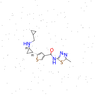 Cc1nnc(NC(=O)c2csc([C@@H]3C[C@H]3NCC3CC3)c2)s1